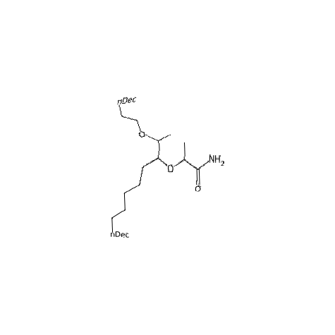 CCCCCCCCCCCCCCCC(OC(C)C(N)=O)C(C)OCCCCCCCCCCCC